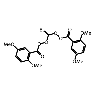 [CH2]C[C](OOC(=O)c1cc(OC)ccc1OC)OOC(=O)c1cc(OC)ccc1OC